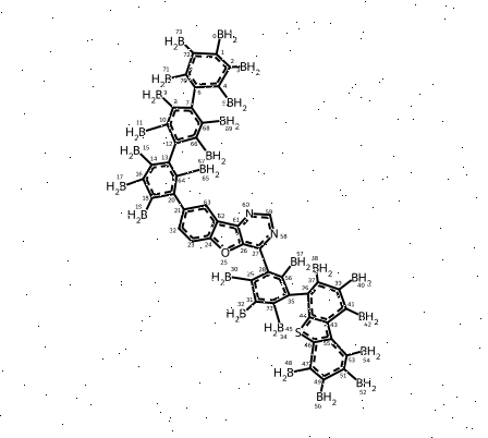 Bc1c(B)c(B)c(-c2c(B)c(B)c(-c3c(B)c(B)c(B)c(-c4ccc5oc6c(-c7c(B)c(B)c(B)c(-c8c(B)c(B)c(B)c9c8sc8c(B)c(B)c(B)c(B)c89)c7B)ncnc6c5c4)c3B)c(B)c2B)c(B)c1B